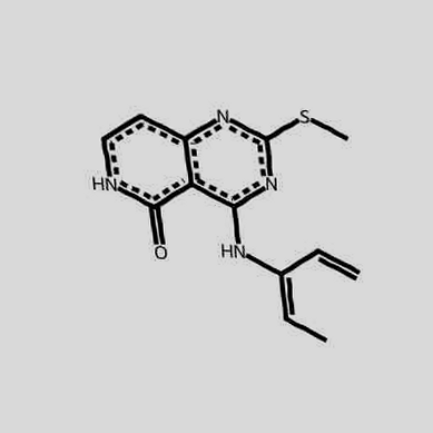 C=C/C(=C\C)Nc1nc(SC)nc2cc[nH]c(=O)c12